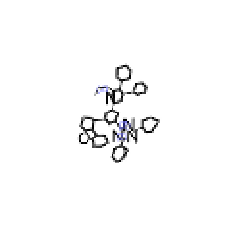 C=N/C(=N\C(=N/Cc1ccccc1)c1cc(-c2cc(-c3ccccc3)c(-c3ccccc3)c(/C=C\C)n2)cc(-c2cccc3oc4ccccc4c23)c1)c1ccccc1